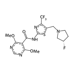 COc1ncnc(OC)c1C(=O)Nc1nc(C(F)(F)F)c(CN2CC[C@H](F)C2)s1